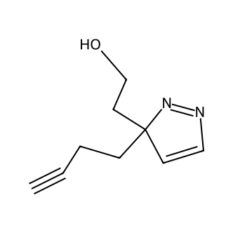 C#CCCC1(CCO)C=CN=N1